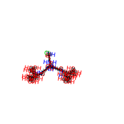 O=C(CCCCCNC(=O)CN(CC(=O)NCCCCCC(=O)NCCO[C@H]1O[C@H](CO[C@H]2O[C@H](CO)[C@@H](O)[C@H](O)[C@@H]2O)[C@@H](O)[C@H](O[C@H]2O[C@H](CO)[C@@H](O)[C@H](O)[C@@H]2O)[C@@H]1O)CC(=O)NCCCCCC(=O)NCCO[C@H]1O[C@H](CO[C@H]2C[C@H](CO)[C@@H](O)[C@H](O)[C@@H]2O)[C@@H](O)[C@H](O[C@H]2O[C@H](CO)[C@@H](O)[C@H](O)[C@@H]2O)[C@@H]1O)NCl